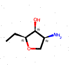 CC[C@@H]1OC[C@H](N)[C@@H]1O